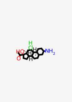 CC(=O)[C@@]1(O)CC[C@H]2[C@@H]3CCC4CC(N)CC[C@]4(C)[C@H]3CC[C@@]21C.Cl